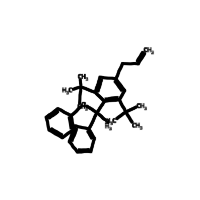 C=CCc1cc(C(C)(C)C)c(C([SiH3])(Oc2ccccc2)c2ccccc2)c(C(C)(C)C)c1